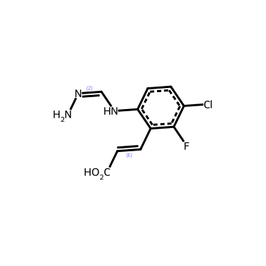 N/N=C\Nc1ccc(Cl)c(F)c1/C=C/C(=O)O